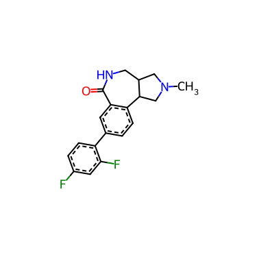 CN1CC2CNC(=O)c3cc(-c4ccc(F)cc4F)ccc3C2C1